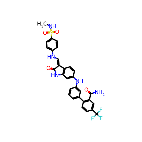 CNS(=O)(=O)c1ccc(NC=C2C(=O)Nc3cc(Nc4cccc(-c5ccc(C(F)(F)F)cc5C(N)=O)c4)ccc32)cc1